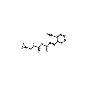 N#Cc1ccccc1C=CC(=O)CC(=O)OCC1CC1